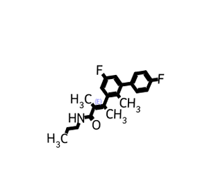 CCCNC(=O)/C(C)=C(\C)c1cc(F)cc(-c2ccc(F)cc2)c1C